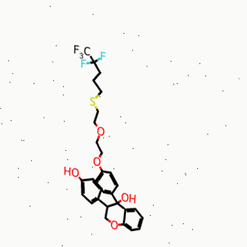 Oc1ccc(C2COc3ccccc3C2(O)c2ccc(OCCOCCSCCCC(F)(F)C(F)(F)F)cc2)cc1